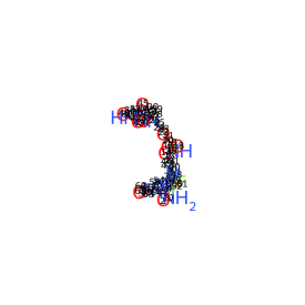 NC(=O)c1cn(-c2cn(C3CCC(C(=O)NS(=O)(=O)CCCOCCCNc4cccc5c4C(=O)N(C4CCC(=O)NC4=O)C5=O)CC3)nc2C(F)F)[n+]2ccc(N3CC4CC3CO4)nc12